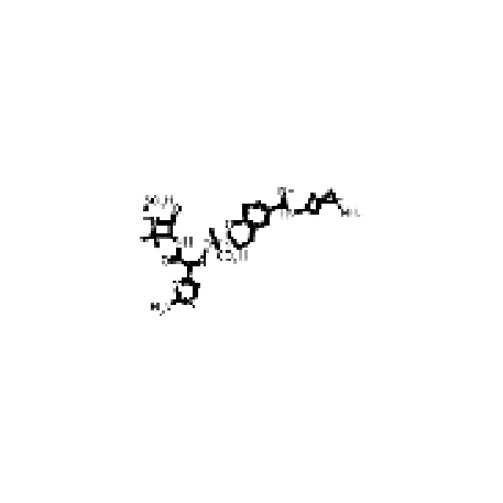 CC(ON=C(C(=O)NC1C(=O)N(OS(=O)(=O)O)C1(C)C)c1csc(N)n1)(C(=O)O)[C@H]1CCc2cc(C(=N)NC3CC4(C3)C[C@H]4N)ccc2O1